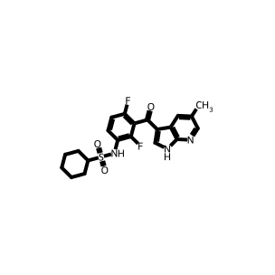 Cc1cnc2[nH]cc(C(=O)c3c(F)ccc(NS(=O)(=O)C4CCCCC4)c3F)c2c1